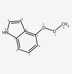 COOc1cccc2[nH]ccc12